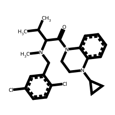 CC(C)C(C(=O)N1CCN(C2CC2)c2ccccc21)N(C)Cc1cc(Cl)ccc1Cl